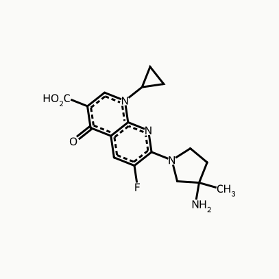 CC1(N)CCN(c2nc3c(cc2F)c(=O)c(C(=O)O)cn3C2CC2)C1